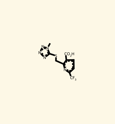 Cn1nnnc1SCc1nc(C(F)(F)F)ccc1C(=O)O